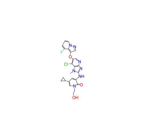 Cn1c(Nc2cc(C3CC3)cn(CCO)c2=O)nc2ncc(Oc3cnn4cccc(F)c34)c(Cl)c21